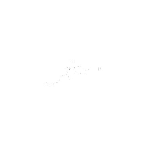 [2H][C@@](CCC(=O)O)(NC(=O)CCCCCCCCCCC)C(=O)O